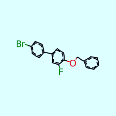 Fc1cc(-c2ccc(Br)cc2)ccc1OCc1ccccc1